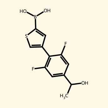 CC(O)c1cc(F)c(-c2csc(B(O)O)c2)c(F)c1